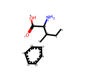 CCC(C)C(N)C(=O)O.c1ccccc1